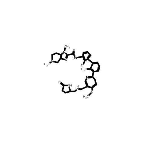 COC1=CCC(c2cccc(-c3cccc(NC(=O)c4nc5c(n4C)CCN(C)C5)c3Cl)c2C)=NC=C1CNCC1CCC(=O)N1